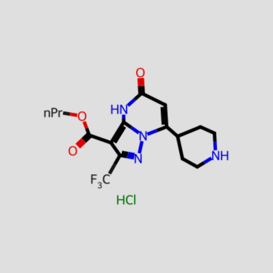 CCCOC(=O)c1c(C(F)(F)F)nn2c(C3CCNCC3)cc(=O)[nH]c12.Cl